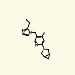 CCc1nccn1Cc1cnc(N2CC3CC3C2)cc1C